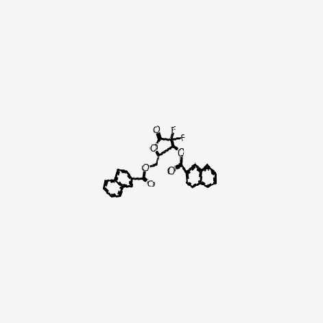 O=C(OC[C@H]1OC(=O)C(F)(F)C1OC(=O)c1ccc2ccccc2c1)c1ccc2ccccc2c1